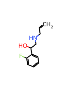 C=CCNCC(O)c1ccccc1F